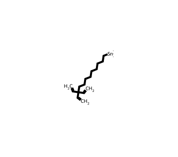 C=CC(C=C)(C=C)CCCCCCCC[CH2][Sn]